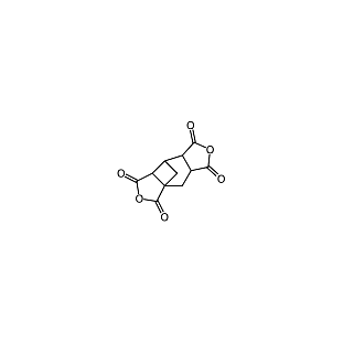 O=C1OC(=O)C2C1CC13CC2C1C(=O)OC3=O